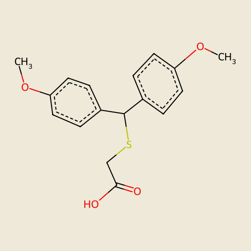 COc1ccc(C(SCC(=O)O)c2ccc(OC)cc2)cc1